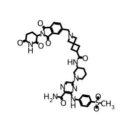 CS(=O)(=O)c1ccc(Nc2nc(N3CCCC(NC(=O)C4CC5(C4)CN(Cc4ccc6c(c4)C(=O)N(C4CCC(=O)NC4=O)C6=O)C5)C3)cnc2C(N)=O)cc1